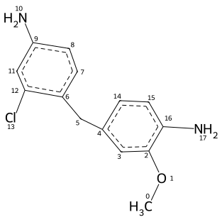 COc1cc(Cc2ccc(N)cc2Cl)ccc1N